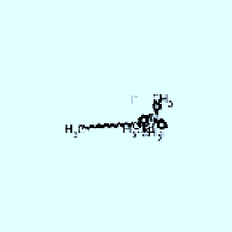 CCCCCCCCCCCCCCCCOc1ccc(CN(Cc2cc[n+](C)cc2)C(=O)c2ccccc2)cc1C(C)(C)C.[I-]